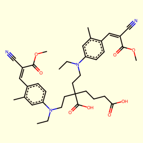 CCN(CCC(CCCC(=O)O)(CCN(CC)c1ccc(C=C(C#N)C(=O)OC)c(C)c1)C(=O)O)c1ccc(C=C(C#N)C(=O)OC)c(C)c1